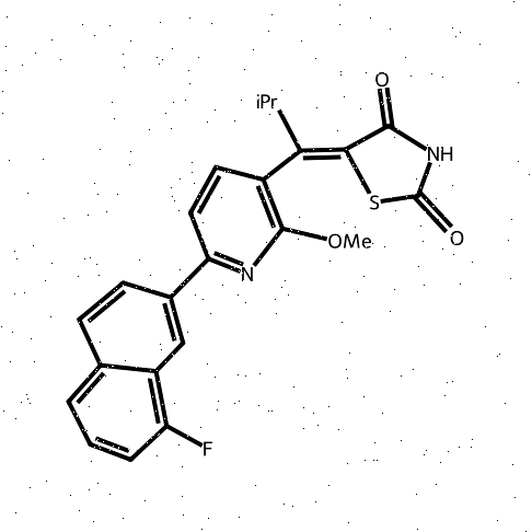 COc1nc(-c2ccc3cccc(F)c3c2)ccc1C(=C1SC(=O)NC1=O)C(C)C